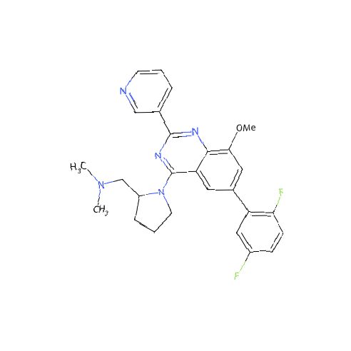 COc1cc(-c2cc(F)ccc2F)cc2c(N3CCCC3CN(C)C)nc(-c3cccnc3)nc12